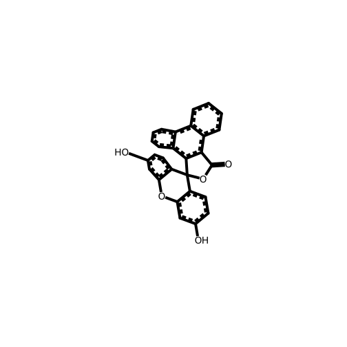 O=C1OC2(c3ccc(O)cc3Oc3cc(O)ccc32)c2c1c1ccccc1c1ccccc21